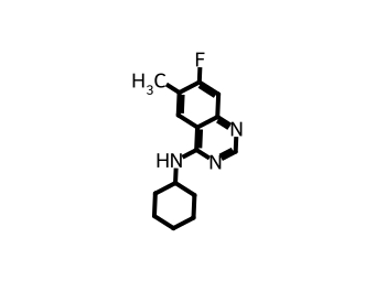 Cc1cc2c(NC3CCCCC3)ncnc2cc1F